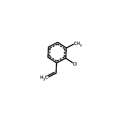 C=[C]c1cccc(C)c1Cl